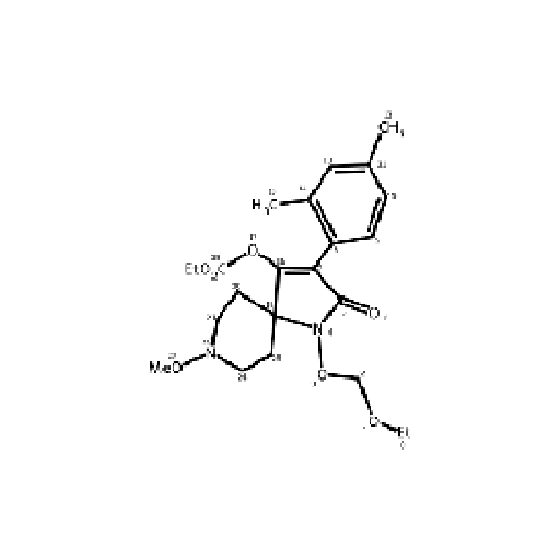 CCOCON1C(=O)C(c2ccc(C)cc2C)=C(OC(=O)OCC)C12CCN(OC)CC2